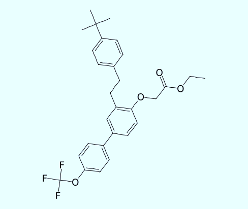 CCOC(=O)COc1ccc(-c2ccc(OC(F)(F)F)cc2)cc1CCc1ccc(C(C)(C)C)cc1